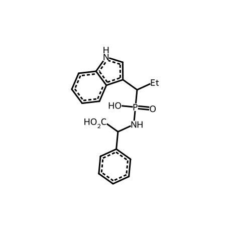 CCC(c1c[nH]c2ccccc12)P(=O)(O)NC(C(=O)O)c1ccccc1